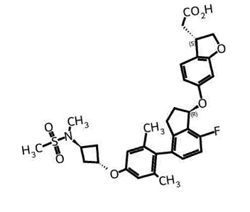 Cc1cc(O[C@H]2C[C@H](N(C)S(C)(=O)=O)C2)cc(C)c1-c1ccc(F)c2c1CC[C@H]2Oc1ccc2c(c1)OC[C@H]2CC(=O)O